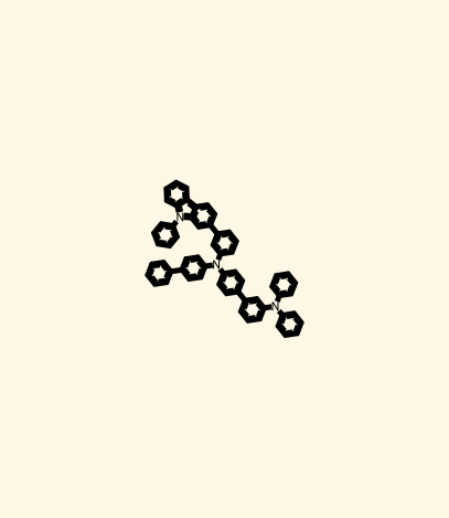 c1ccc(-c2ccc(N(c3ccc(-c4cccc(N(c5ccccc5)c5ccccc5)c4)cc3)c3cccc(-c4ccc5c6ccccc6n(-c6ccccc6)c5c4)c3)cc2)cc1